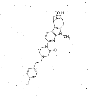 Cn1c2c(c3ccc(N4CCN(CCc5ccc(Cl)cc5)CC4=O)nc31)C1CCC(C2)N1C(=O)O